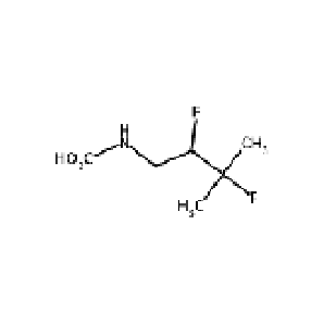 CC(C)(F)C(F)CNC(=O)O